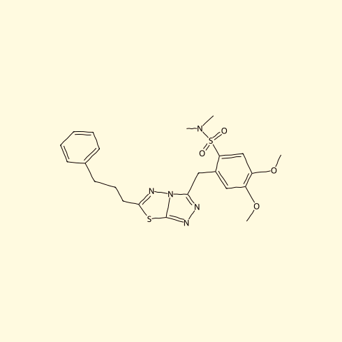 COc1cc(Cc2nnc3sc(CCCc4ccccc4)nn23)c(S(=O)(=O)N(C)C)cc1OC